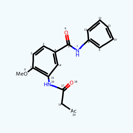 COc1ccc(C(=O)Nc2ccccc2)cc1NC(=O)CC(C)=O